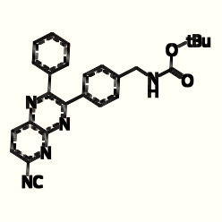 [C-]#[N+]c1ccc2nc(-c3ccccc3)c(-c3ccc(CNC(=O)OC(C)(C)C)cc3)nc2n1